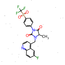 CC1C(=O)N(c2ccc(S(=O)(=O)C(F)(F)F)cc2)C(=O)N1Cc1ccnc2ccc(F)cc12